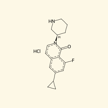 Cl.O=c1c2c(F)cc(C3CC3)cc2ccn1[C@@H]1CCCNC1